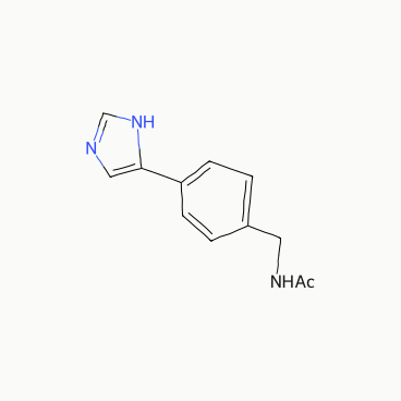 CC(=O)NCc1ccc(-c2cnc[nH]2)cc1